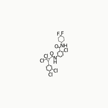 O=C(NC1CCC(F)(F)CC1)c1cc(NC(=O)C2C(c3ccc(Cl)c(Cl)c3)C2(Cl)Cl)ccc1Cl